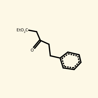 CCOC(=O)CC(=O)CCc1ccccc1